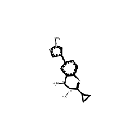 C[C@H]1C(C2CC2)=Nc2ccc(-c3cnn(C)c3)cc2[C@@H]1N